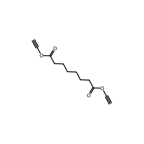 C#COC(=O)CCCCCCC(=O)OC#C